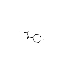 CC(C)C(=O)C1CCSCC1